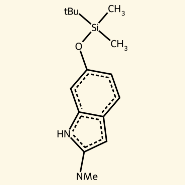 CNc1cc2ccc(O[Si](C)(C)C(C)(C)C)cc2[nH]1